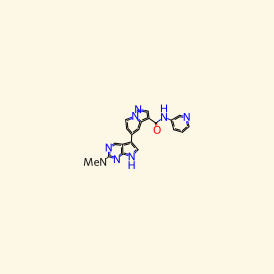 CNc1ncc2c(-c3ccn4ncc(C(=O)Nc5cccnc5)c4c3)c[nH]c2n1